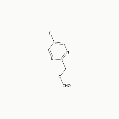 O=COCc1ncc(F)cn1